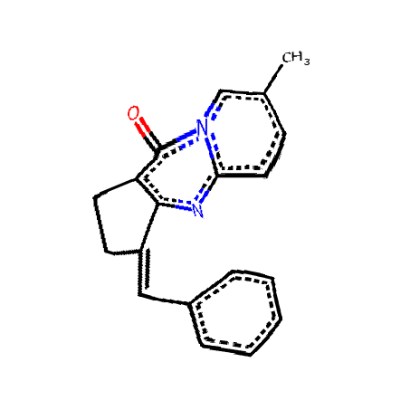 Cc1ccc2nc3c(c(=O)n2c1)CC/C3=C/c1ccccc1